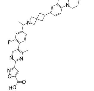 Cc1nc(-c2cc(C(=O)O)on2)ncc1-c1ccc(C(C)N2CC3(CC(c4ccc(N5CCC(=O)NC5=O)c(F)c4)C3)C2)cc1F